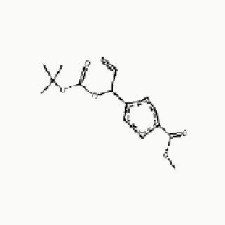 C=CC(OC(=O)OC(C)(C)C)c1ccc(C(=O)OC)cc1